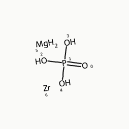 O=P(O)(O)O.[MgH2].[Zr]